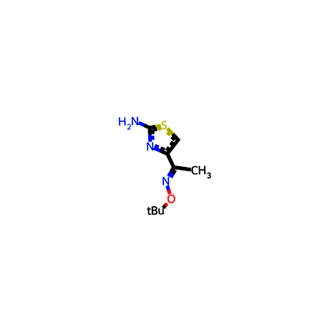 C/C(=N\OC(C)(C)C)c1csc(N)n1